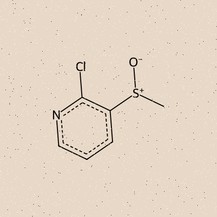 C[S+]([O-])c1cccnc1Cl